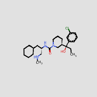 CC[C@@](O)(c1cccc(Cl)c1)[C@@H]1CCCN(C(=O)N[C@H](CNC)CC2CCCCC2)C1